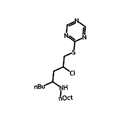 CCCCCCCCNC(CCCC)CC(Cl)CSc1ncncn1